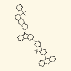 CC1(C)c2ccccc2-c2ccc3cc4cc(-n5c6ccccc6c6cc(-c7ccc8c(c7)[Si](C)(C)c7cc(-c9c%10ccccc%10cc%10ccccc9%10)ccc7-8)ccc65)ccc4cc3c21